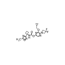 Cc1nc(C2(NC(=O)Oc3cnc(N4CC(F)(F)C4)c(OCC4CC4)n3)CCC2)no1